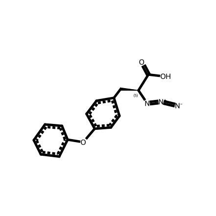 [N-]=[N+]=N[C@@H](Cc1ccc(Oc2ccccc2)cc1)C(=O)O